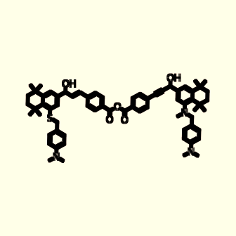 CN(C)c1ccc(CSc2cc(C(O)C=Cc3ccc(C(=O)OC(=O)c4ccc(C#CC(O)c5cc(N(C)Cc6ccc(N(C)C)cc6)c6c(c5)C(C)(C)CCC6(C)C)cc4)cc3)cc3c2C(C)(C)CCC3(C)C)cc1